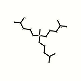 CC(C)CCC[Si](C)(CCCC(C)C)CCCC(C)C